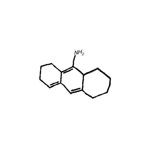 NC1=C2CCCC=C2C=C2CCCCC21